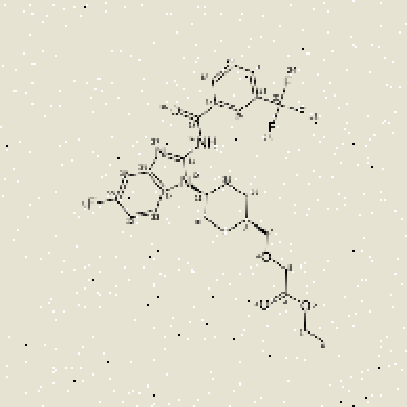 CCOC(=O)COC[C@H]1CC[C@@H](n2c(NC(=O)c3cccc(C(F)(F)F)c3)nc3cc(F)ccc32)CC1